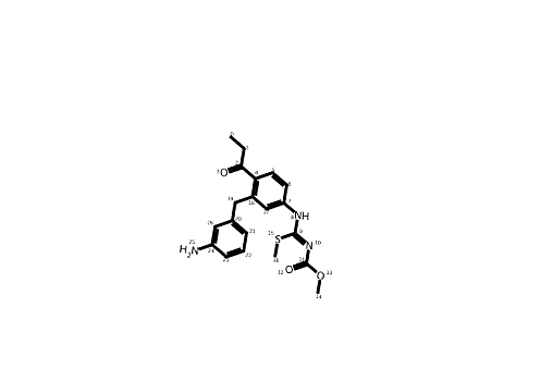 CCC(=O)c1ccc(NC(=NC(=O)OC)SC)cc1Cc1cccc(N)c1